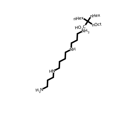 CCCCCCCCC(CCCCCC)(CCCCCC)C(=O)O.NCCCNCCCCNCCCN